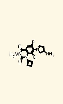 NC1CCN(c2c(F)cc3c(=O)n(N)c(=O)n(C4CCC4)c3c2Cl)C1